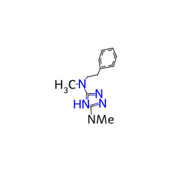 CNc1nnc(N(C)CCc2ccccc2)[nH]1